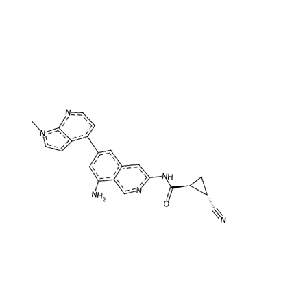 Cn1ccc2c(-c3cc(N)c4cnc(NC(=O)[C@H]5C[C@@H]5C#N)cc4c3)ccnc21